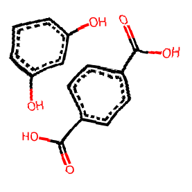 O=C(O)c1ccc(C(=O)O)cc1.Oc1cccc(O)c1